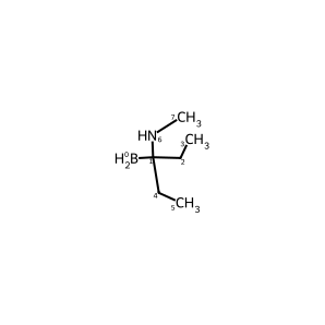 BC(CC)(CC)NC